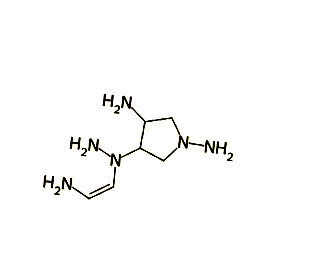 N/C=C\N(N)C1CN(N)CC1N